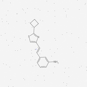 Nc1cccc(/C=C/c2csc(C3CCC3)n2)c1